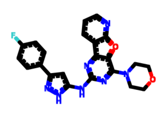 Fc1ccc(-c2cc(Nc3nc(N4CCOCC4)c4oc5ncccc5c4n3)[nH]n2)cc1